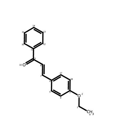 CCOc1ccc(C=CC(=O)c2ccccc2)cc1